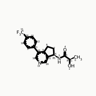 C[C@@H](O)C(=O)N[C@@H]1CCc2c(-c3ccc(C(F)(F)F)cc3)cncc21